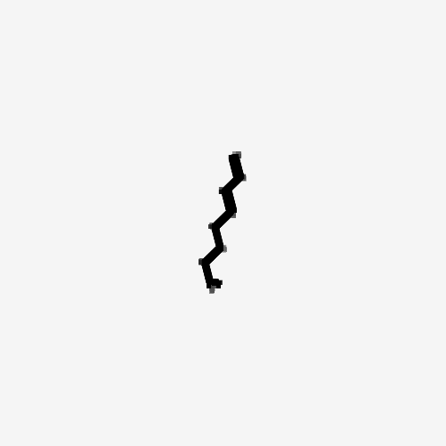 [CH]=CC=CCCCCC[CH2]